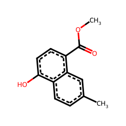 COC(=O)c1ccc(O)c2ccc(C)cc12